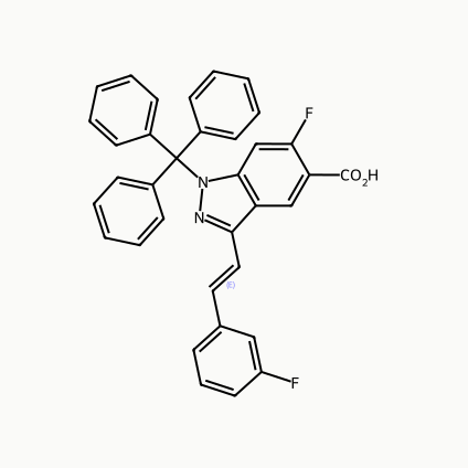 O=C(O)c1cc2c(/C=C/c3cccc(F)c3)nn(C(c3ccccc3)(c3ccccc3)c3ccccc3)c2cc1F